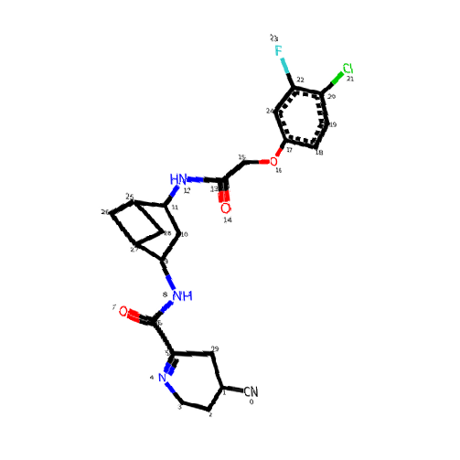 N#CC1CCN=C(C(=O)NC2CC(NC(=O)COc3ccc(Cl)c(F)c3)C3CC2C3)C1